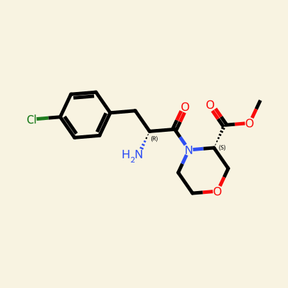 COC(=O)[C@@H]1COCCN1C(=O)[C@H](N)Cc1ccc(Cl)cc1